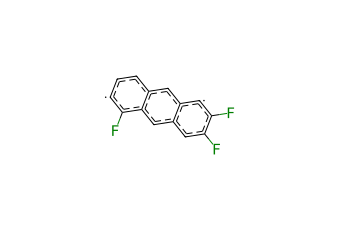 Fc1[c]c2cc3cc[c]c(F)c3cc2cc1F